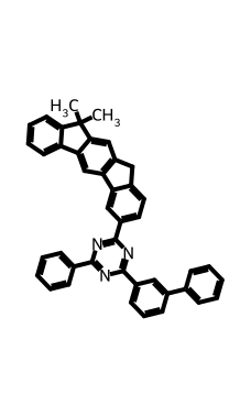 CC1(C)c2ccccc2-c2cc3c(cc21)Cc1ccc(-c2nc(-c4ccccc4)nc(-c4cccc(-c5ccccc5)c4)n2)cc1-3